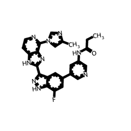 CCC(=O)Nc1cncc(-c2cc(F)c3[nH]nc(-c4nc5c(-n6cnc(C)c6)nccc5[nH]4)c3c2)c1